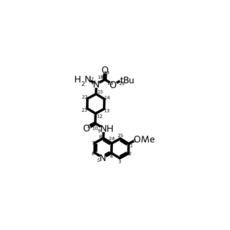 COc1ccc2nccc(NC(=O)C3CCC(N(N)C(=O)OC(C)(C)C)CC3)c2c1